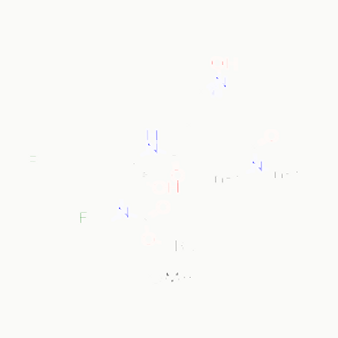 CCCN(CCC)C(=O)c1cc(C(=O)N[C@@H](Cc2cc(F)cc(F)c2)[C@H](O)CN(Cc2cccc(OC)c2)C(=O)OC(C)(C)C)cc(/C(C)=N/O)c1